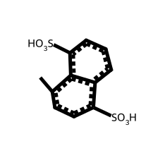 Cc1ccc(S(=O)(=O)O)c2cccc(S(=O)(=O)O)c12